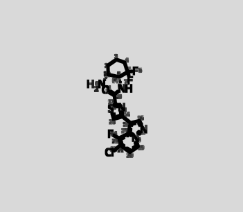 N[C@@H]1CCCC(F)(F)[C@@H]1NC(=O)c1nc(-c2cnn3ccc(Cl)c(F)c23)cs1